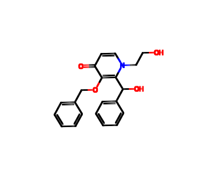 O=c1ccn(CCO)c(C(O)c2ccccc2)c1OCc1ccccc1